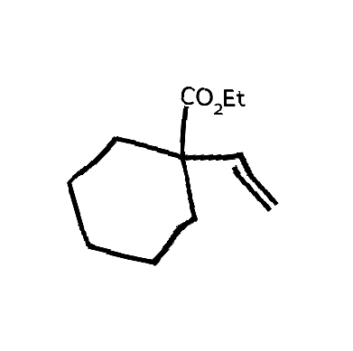 C=CC1(C(=O)OCC)CCCCC1